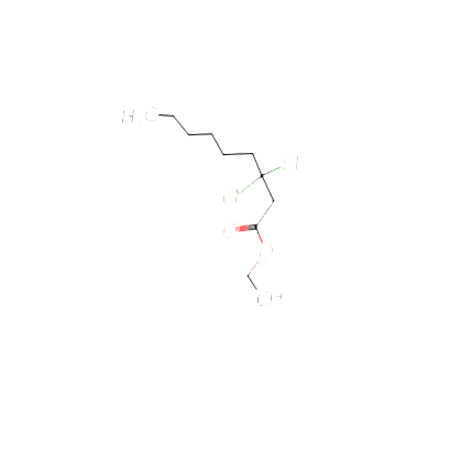 CCCCCCC(Cl)(Cl)CC(=O)OCC